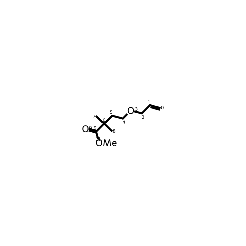 C=CCOCCC(C)(C)C(=O)OC